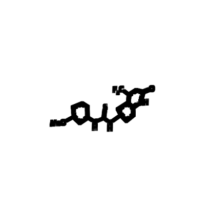 COc1cccc(NC(=S)Nc2ccc3[nH]c(=O)cc(C(F)(F)F)c3c2)c1